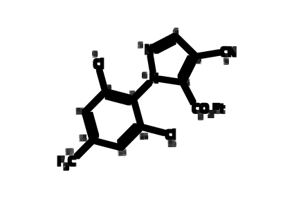 CCOC(=O)c1c(C#N)cnn1-c1c(Cl)cc(C(F)(F)F)cc1Cl